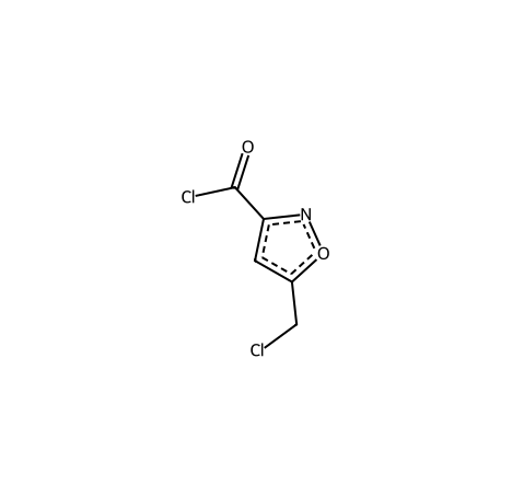 O=C(Cl)c1cc(CCl)on1